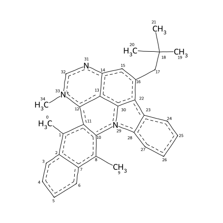 Cc1c2ccccc2c(C)c2c1c1c3c(cc(CC(C)(C)C)c4c5ccccc5n2c43)nc[n+]1C